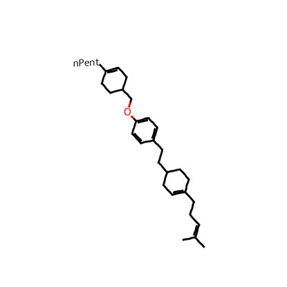 CCCCCC1=CCC(COc2ccc(CCC3CC=C(CCC=C(C)C)CC3)cc2)CC1